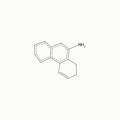 Nc1cc2ccccc2c2c1CCC=C2